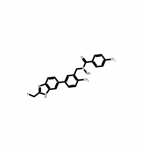 CCCN(Cc1cc(-c2ccc3nc(CF)[nH]c3c2)ccc1C)C(=O)c1ccc(C(F)(F)F)cc1